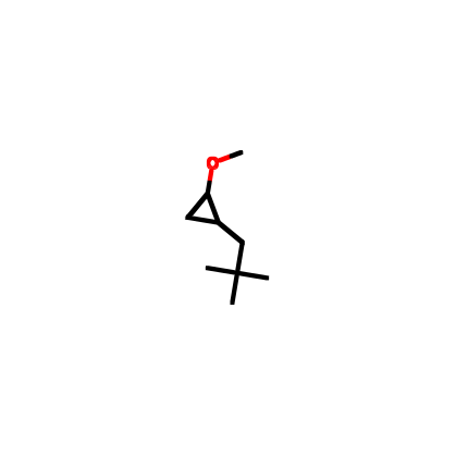 COC1CC1CC(C)(C)C